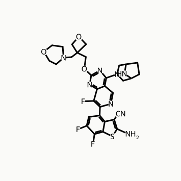 N#Cc1c(N)sc2c(F)c(F)cc(-c3ncc4c(N5CC6CCC(C5)N6)nc(OCC5(CN6CCOCC6)COC5)nc4c3F)c12